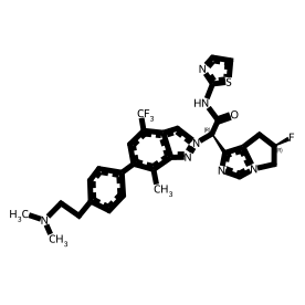 Cc1c(-c2ccc(CCN(C)C)cc2)cc(C(F)(F)F)c2cn([C@@H](C(=O)Nc3nccs3)c3ncn4c3C[C@@H](F)C4)nc12